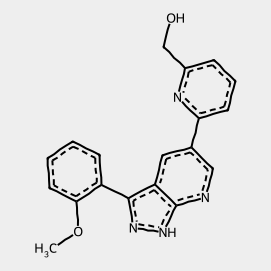 COc1ccccc1-c1n[nH]c2ncc(-c3cccc(CO)n3)cc12